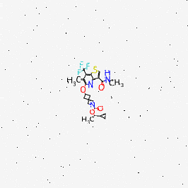 CNC(=O)c1csc2c(C(F)(F)F)c(C)c(OC3CC4(C3)CN(C(=O)O[C@@H](C)C3CC3)C4)nc12